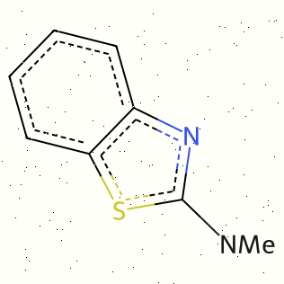 CNc1nc2ccccc2s1